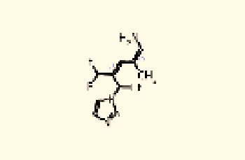 CCC(/C(=C\C(C)=C/N)C(F)F)n1ccnn1